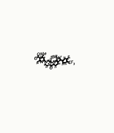 COC(=O)c1c(C)cc(N2CCN(C(=O)c3ccc4c(-c5ccc(C(F)(F)F)c(F)c5)cn(C(C)(C)C)c4n3)C(C)(C)C2)nc1C